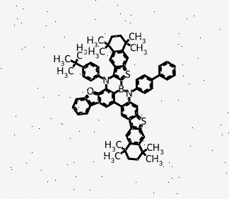 CC(C)(C)c1ccc(N2c3c(sc4cc5c(cc34)C(C)(C)CCC5(C)C)B3c4c(cc5c(oc6ccccc65)c42)-c2cc4c(cc2N3c2ccc(-c3ccccc3)cc2)sc2cc3c(cc24)C(C)(C)CCC3(C)C)cc1